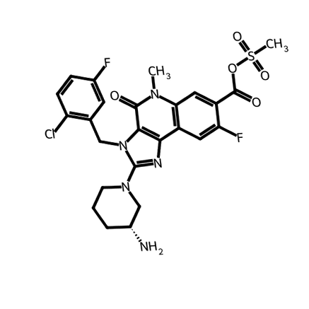 Cn1c(=O)c2c(nc(N3CCC[C@@H](N)C3)n2Cc2cc(F)ccc2Cl)c2cc(F)c(C(=O)OS(C)(=O)=O)cc21